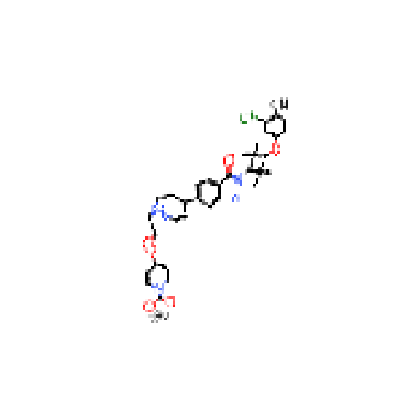 CC(C)(C)OC(=O)N1CCC(OCCN2CCC(c3ccc(C(=O)N[C@H]4C(C)(C)[C@H](Oc5ccc(C#N)c(Cl)c5)C4(C)C)cc3)CC2)CC1